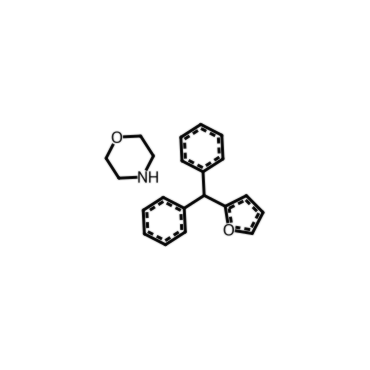 C1COCCN1.c1ccc(C(c2ccccc2)c2ccco2)cc1